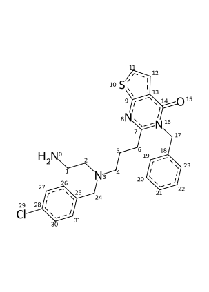 NCCN(CCCc1nc2sccc2c(=O)n1Cc1ccccc1)Cc1ccc(Cl)cc1